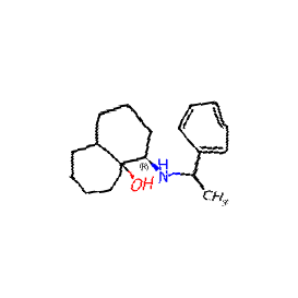 CC(N[C@@H]1CCCC2CCCCC21O)c1ccccc1